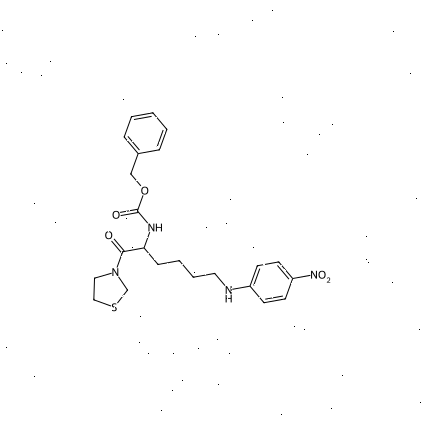 O=C(NC(CCCCNc1ccc([N+](=O)[O-])cc1)C(=O)N1CCSC1)OCc1ccccc1